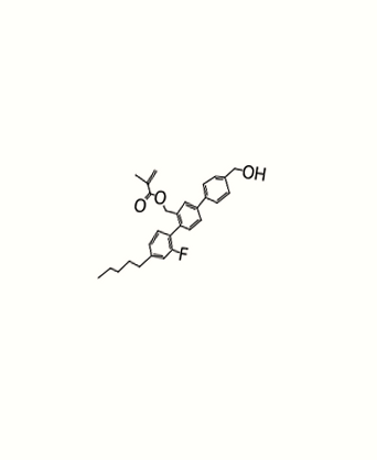 C=C(C)C(=O)OCc1cc(-c2ccc(CO)cc2)ccc1-c1ccc(CCCCC)cc1F